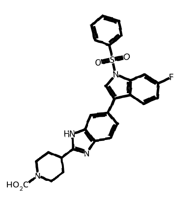 O=C(O)N1CCC(c2nc3ccc(-c4cn(S(=O)(=O)c5ccccc5)c5cc(F)ccc45)cc3[nH]2)CC1